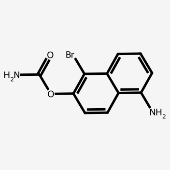 NC(=O)Oc1ccc2c(N)cccc2c1Br